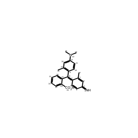 CC1=CC(=N)C=C/C1=C(/c1ccc(N(C)C)cc1C)c1ccccc1C(=O)O